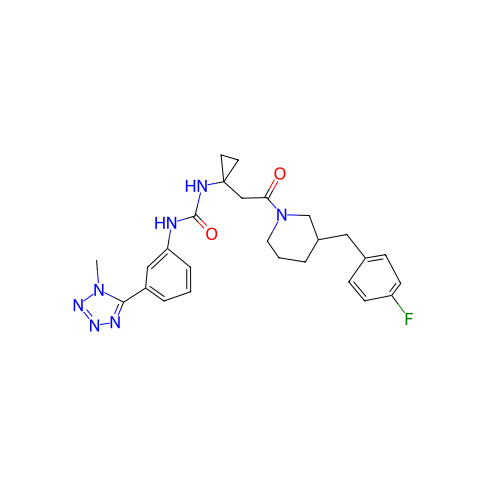 Cn1nnnc1-c1cccc(NC(=O)NC2(CC(=O)N3CCCC(Cc4ccc(F)cc4)C3)CC2)c1